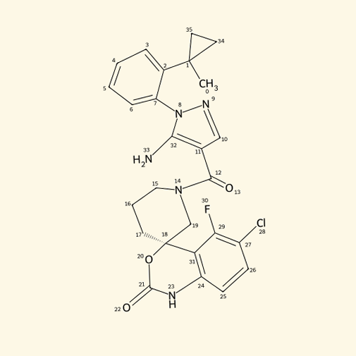 CC1(c2ccccc2-n2ncc(C(=O)N3CCC[C@@]4(C3)OC(=O)Nc3ccc(Cl)c(F)c34)c2N)CC1